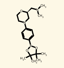 CN(C)C[C@H]1CN(c2ccc(B3OC(C)(C)C(C)(C)O3)cc2)CCO1